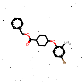 Cc1cc(Br)ccc1OC1CCC(C(=O)OCc2ccccc2)CC1